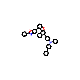 c1ccc(-c2ccc(N(c3ccccc3)c3ccc(-c4cc5oc6cccc(-c7ccc8nc(-c9ccccc9)oc8c7)c6c5c5ccccc45)cc3)cc2)cc1